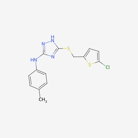 Cc1ccc(Nc2n[nH]c(SCc3ccc(Cl)s3)n2)cc1